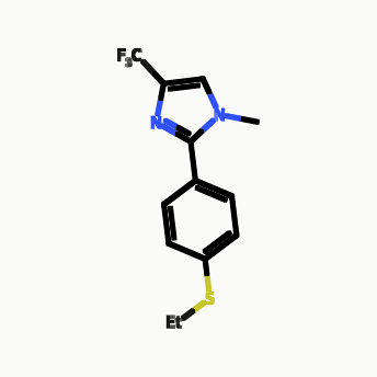 CCSc1ccc(-c2nc(C(F)(F)F)cn2C)cc1